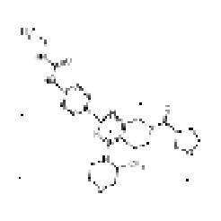 CCNC(=O)Nc1ccc(-c2nc3c(c(N4CCOCC4C)n2)CCN(C(=O)[C@H]2CCOC2)C3)cc1